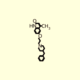 Cc1cc(=O)[nH]c2ccc(OCCCN3CCC(Cc4ccccc4)CC3)cc12